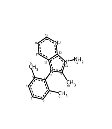 Cc1cccc(C)c1-n1c(C)[n+](N)c2ncccc21